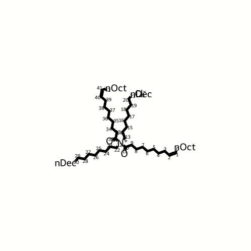 CCCCCCCC/C=C\CCCCCCCC(=O)[N+](CCCCCCCCCCCCCCCCCC)(CCCCCCCCCCCCCCCCCC)C(=O)CCCCCCC/C=C\CCCCCCCC.[Cl-]